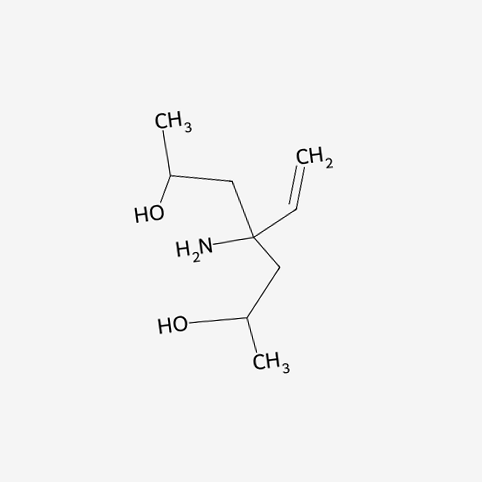 C=CC(N)(CC(C)O)CC(C)O